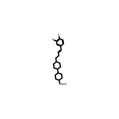 CCCCCC1CCC(C2CCC(CCC=Cc3ccc(F)c(F)c3)CC2)CC1